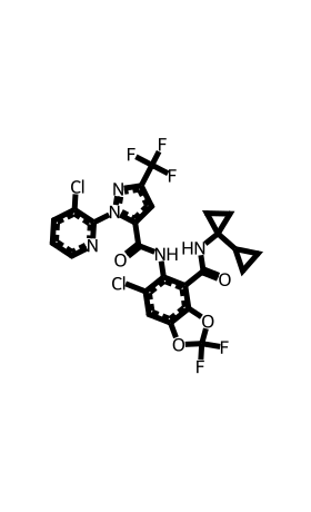 O=C(NC1(C2CC2)CC1)c1c(NC(=O)c2cc(C(F)(F)F)nn2-c2ncccc2Cl)c(Cl)cc2c1OC(F)(F)O2